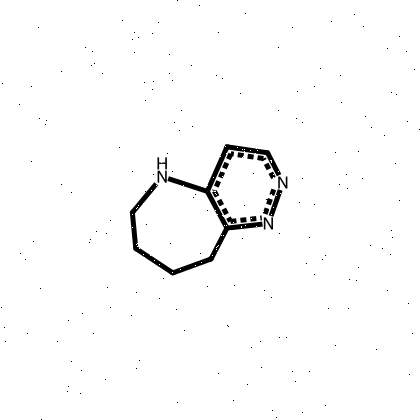 c1cc2c(nn1)CCCCN2